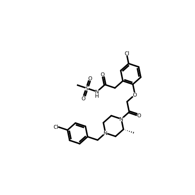 C[C@@H]1CN(Cc2ccc(Cl)cc2)CCN1C(=O)COc1ccc(Cl)cc1CC(=O)NS(C)(=O)=O